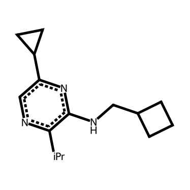 CC(C)c1ncc(C2CC2)nc1NCC1CCC1